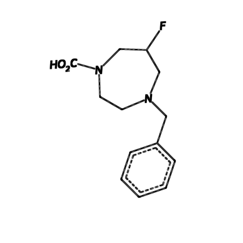 O=C(O)N1CCN(Cc2ccccc2)CC(F)C1